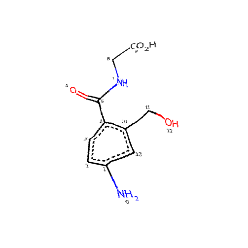 Nc1ccc(C(=O)NCC(=O)O)c(CO)c1